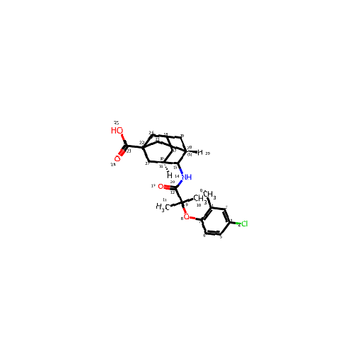 Cc1cc(Cl)ccc1OC(C)(C)C(=O)NC1[C@@H]2CC3C[C@H]1CC(C(=O)O)(C3)C2